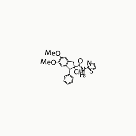 COc1cc2c(cc1OC)C(c1ccccc1)C(C)(C(=O)Nc1nccs1)C2